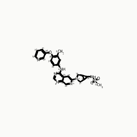 Cc1cc(Nc2ncnc3cnc(N4CC5C(C4)C5NS(C)(=O)=O)cc23)ccc1Oc1cccnc1